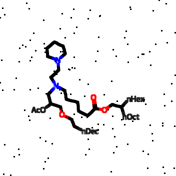 CCCCCCCCCCCCOCC(CN(CCCCCC(=O)OCC(CCCCCC)CCCCCCCC)CCN1CCCCC1)OC(C)=O